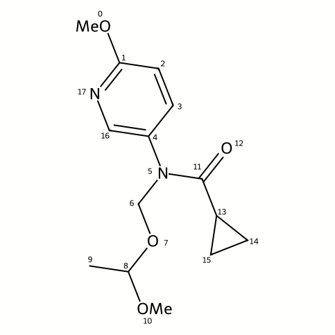 COc1ccc(N(COC(C)OC)C(=O)C2CC2)cn1